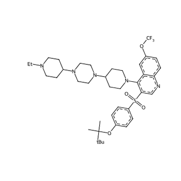 CCN1CCC(N2CCN(C3CCN(c4c(S(=O)(=O)c5ccc(OC(C)(C)C(C)(C)C)cc5)cnc5ccc(OC(F)(F)F)cc45)CC3)CC2)CC1